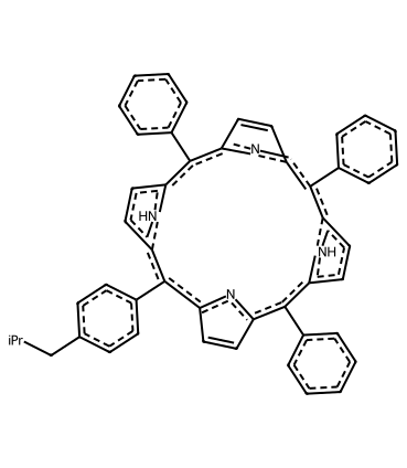 CC(C)Cc1ccc(-c2c3nc(c(-c4ccccc4)c4ccc([nH]4)c(-c4ccccc4)c4nc(c(-c5ccccc5)c5ccc2[nH]5)C=C4)C=C3)cc1